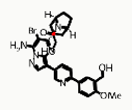 COc1ccc(-c2ccc(-c3cnn4c(N)c(Br)c([C@@H]5C[C@H]6CC[C@@H](C5)N6C(=O)CO)nc34)cn2)cc1CO